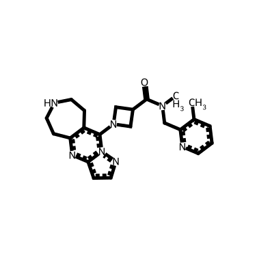 Cc1cccnc1CN(C)C(=O)C1CN(c2c3c(nc4ccnn24)CCNCC3)C1